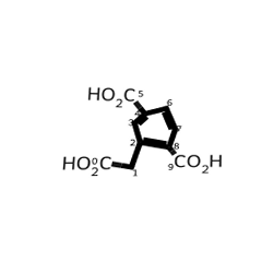 O=C(O)Cc1cc(C(=O)O)ccc1C(=O)O